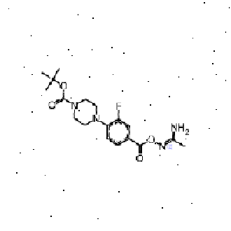 C/C(N)=N/OC(=O)c1ccc(N2CCN(C(=O)OC(C)(C)C)CC2)c(F)c1